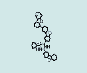 c1ccc(C2NC(c3ccc4oc5ccccc5c4c3)NC(c3ccc4oc5ccc(-c6cccc7c6oc6ccccc67)cc5c4c3)N2)cc1